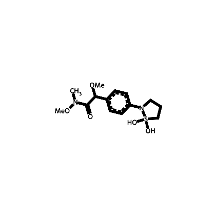 COC(C(=O)N(C)OC)c1ccc(N2CCCS2(O)O)cc1